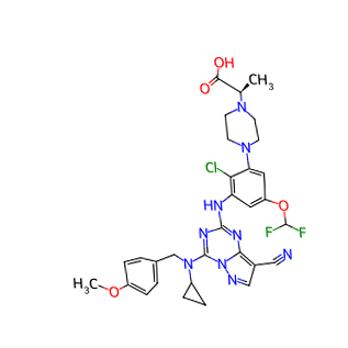 COc1ccc(CN(c2nc(Nc3cc(OC(F)F)cc(N4CCN([C@H](C)C(=O)O)CC4)c3Cl)nc3c(C#N)cnn23)C2CC2)cc1